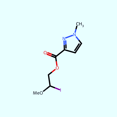 COC(I)COC(=O)c1ccn(C)n1